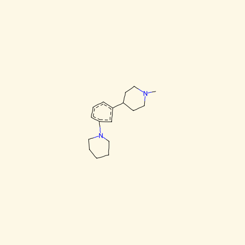 CN1CCC(c2cccc(N3CCCCC3)c2)CC1